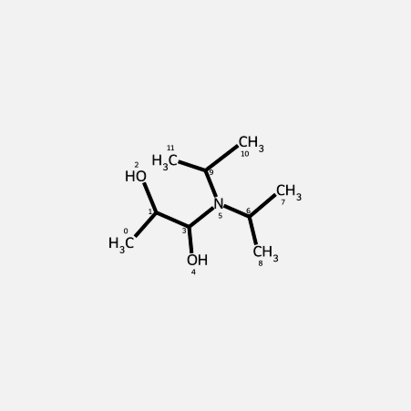 CC(O)C(O)N(C(C)C)C(C)C